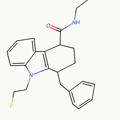 CCNC(=O)C1CCC(Cc2ccccc2)c2c1c1ccccc1n2CCF